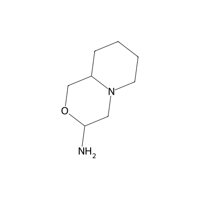 NC1CN2CCCCC2CO1